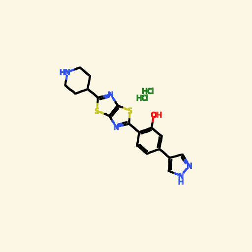 Cl.Cl.Oc1cc(-c2cn[nH]c2)ccc1-c1nc2sc(C3CCNCC3)nc2s1